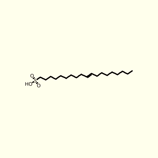 CCCCCCCCC=CCCCCCCCCCS(=O)(=O)O